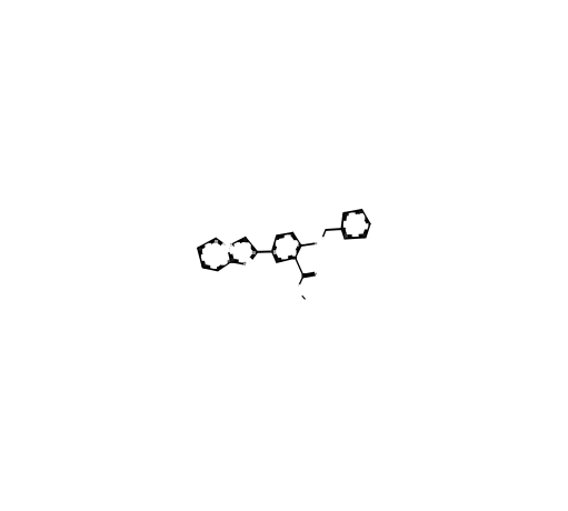 COC(=O)c1cc(-c2cn3ccccc3n2)ccc1OCc1ccccc1